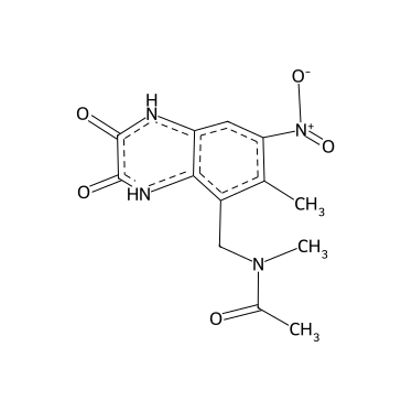 CC(=O)N(C)Cc1c(C)c([N+](=O)[O-])cc2[nH]c(=O)c(=O)[nH]c12